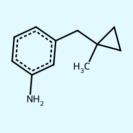 CC1(Cc2cccc(N)c2)CC1